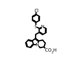 O=C(O)C1CCc2c(Cc3cccnc3Sc3ccc(Cl)cc3)c3ccccc3n2C1